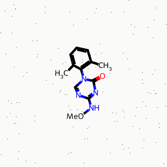 CONc1ncn(-c2c(C)cccc2C)c(=O)n1